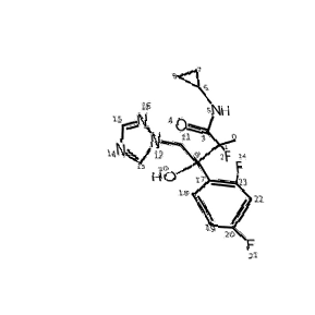 CC(F)(C(=O)NC1CC1)C(O)(Cn1cncn1)c1ccc(F)cc1F